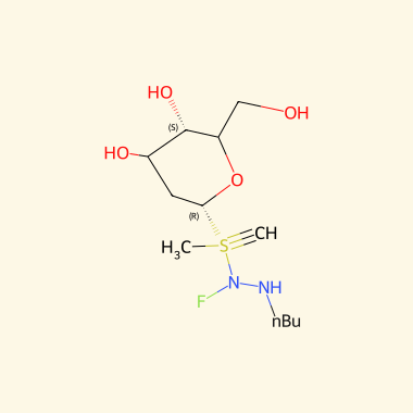 C#S(C)([C@@H]1CC(O)[C@H](O)C(CO)O1)N(F)NCCCC